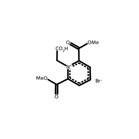 COC(=O)c1cccc(C(=O)OC)[n+]1CC(=O)O.[Br-]